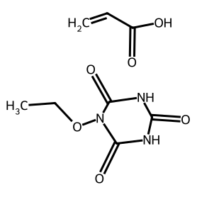 C=CC(=O)O.CCOn1c(=O)[nH]c(=O)[nH]c1=O